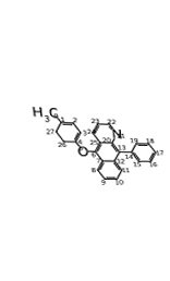 CC1=CC=C(Oc2c3ccccc3c(-c3ccccc3)c3ncccc23)CC1